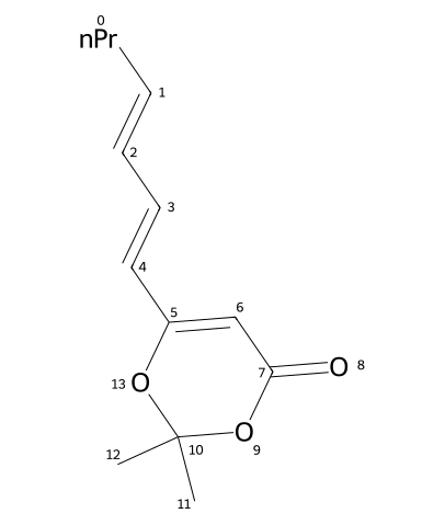 CCC/C=C/C=C/C1=CC(=O)OC(C)(C)O1